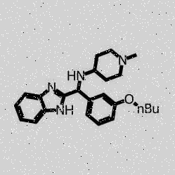 CCCCOc1cccc(C(NC2CCN(C)CC2)c2nc3ccccc3[nH]2)c1